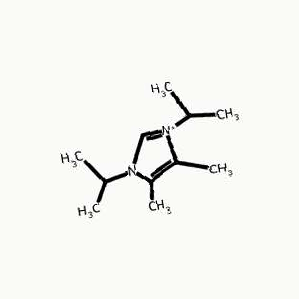 Cc1c(C)[n+](C(C)C)cn1C(C)C